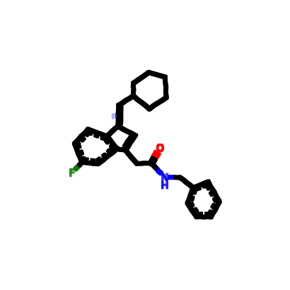 O=C(CC1=C/C(=C\C2CCCCC2)c2ccc(F)cc21)NCc1ccccc1